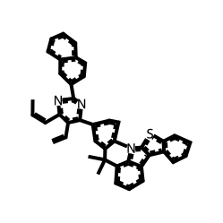 C=Cc1c(/C=C\C)nc(-c2ccc3ccccc3c2)nc1-c1ccc2c(c1)C(C)(C)c1cccc3c4c5ccccc5sc4n-2c13